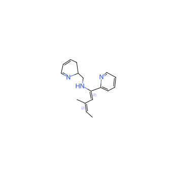 C/C=C(C)\C=C(/NCC1CC=CC=N1)c1ccccn1